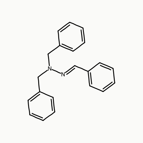 C(=NN(Cc1ccccc1)Cc1ccccc1)c1ccccc1